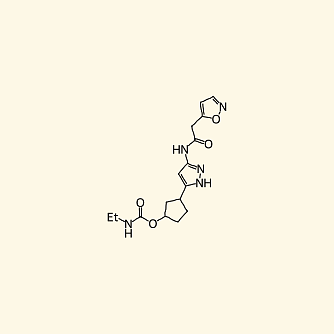 CCNC(=O)OC1CCC(c2cc(NC(=O)Cc3ccno3)n[nH]2)C1